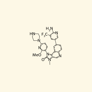 COc1nc(N2CCNCC2)ccc1-n1c(=O)n(C)c2cnc3ccc(-c4cnc(N)c(C(F)(F)F)c4)cc3c21